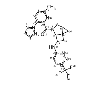 Cc1ccc(-n2nccn2)c(C(=O)N2CC3CC34CC(Nc3ccc(C(F)(F)F)nn3)C24)n1